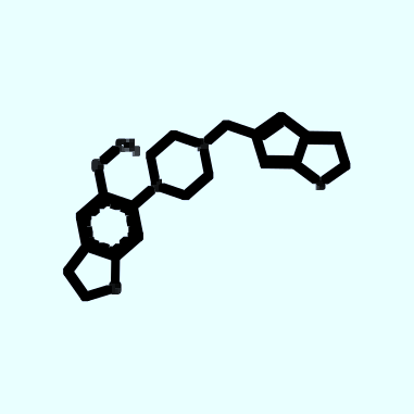 COc1cc2c(cc1N1CCN(CC3=CC4=CCSC4=C3)CC1)OCC2